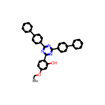 CCC(C)COc1ccc(-c2nc(-c3ccc(-c4ccccc4)cc3)nc(-c3ccc(-c4ccccc4)cc3)n2)c(O)c1